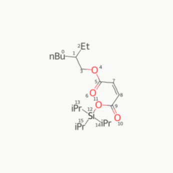 CCCCC(CC)COC(=O)/C=C\C(=O)O[Si](C(C)C)(C(C)C)C(C)C